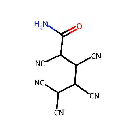 N#CC(C#N)C(C#N)C(C#N)C(C#N)C(N)=O